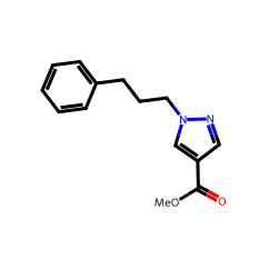 COC(=O)c1cnn(CCCc2ccccc2)c1